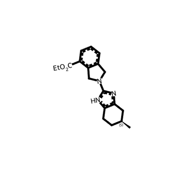 CCOC(=O)c1cccc2c1CN(c1nc3c([nH]1)CC[C@H](C)C3)C2